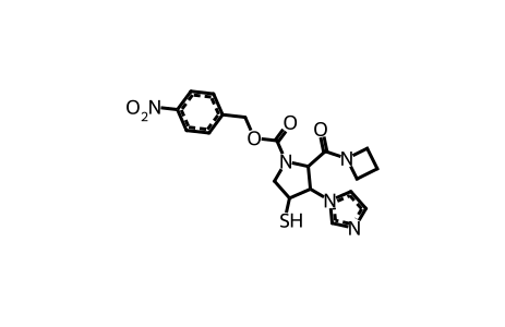 O=C(C1C(n2ccnc2)C(S)CN1C(=O)OCc1ccc([N+](=O)[O-])cc1)N1CCC1